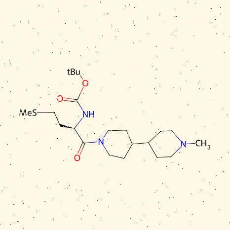 CSCC[C@@H](NC(=O)OC(C)(C)C)C(=O)N1CCC(C2CCN(C)CC2)CC1